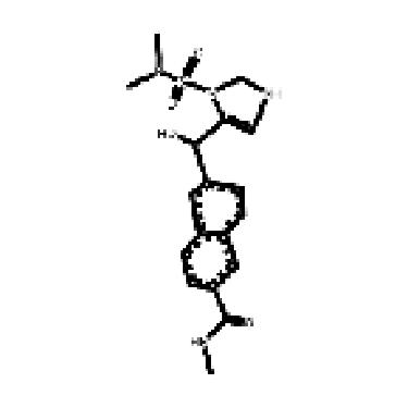 CNC(=O)c1ccc2cc(C(O)C3=CNCN3S(=O)(=O)N(C)C)ccc2c1